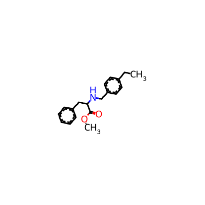 CCc1ccc(CNC(Cc2ccccc2)C(=O)OC)cc1